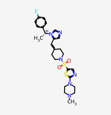 C[C@H](c1ccc(F)cc1)n1cncc1C=C1CCN(S(=O)(=O)c2cnc(N3CCN(C)CC3)s2)CC1